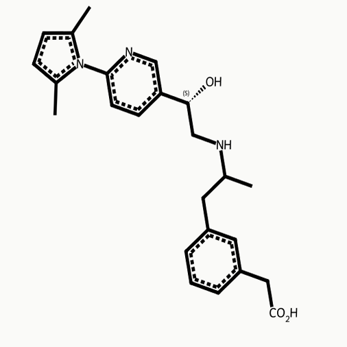 Cc1ccc(C)n1-c1ccc([C@H](O)CNC(C)Cc2cccc(CC(=O)O)c2)cn1